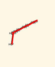 CC(=O)COCCOCCNC(=O)COCCOCCNC(=O)COCCOCCNC(=O)COCCOCCNC(=O)COCCOCCNC(=O)CC[C@H](NC(=O)CCCCCCCCCCCCCCCCCCC(=O)O)C(=O)O